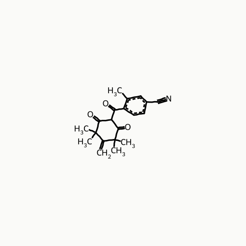 C=C1C(C)(C)C(=O)C(C(=O)c2ccc(C#N)cc2C)C(=O)C1(C)C